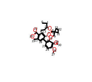 CCC(CC)OC(=O)C1(COc2c(-c3ccc4c(c3)COC4=O)ccc(OC)c2OC)CCC1